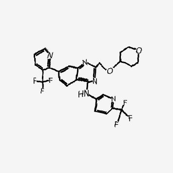 FC(F)(F)c1ccc(Nc2nc(COC3CCOCC3)nc3cc(-c4ncccc4C(F)(F)F)ccc23)cn1